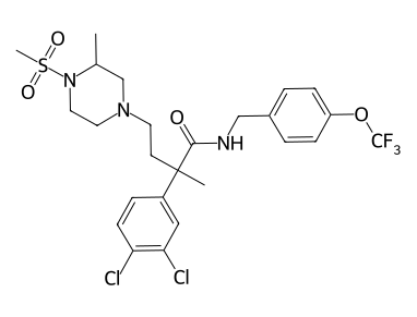 CC1CN(CCC(C)(C(=O)NCc2ccc(OC(F)(F)F)cc2)c2ccc(Cl)c(Cl)c2)CCN1S(C)(=O)=O